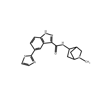 CN1CC2CC1CC2NC(=O)c1n[nH]c2ccc(-c3nccs3)cc12